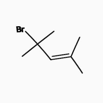 CC(C)=CC(C)(C)Br